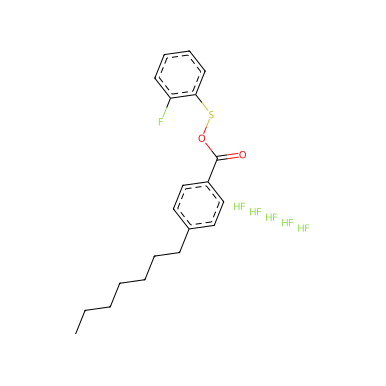 CCCCCCCc1ccc(C(=O)OSc2ccccc2F)cc1.F.F.F.F.F